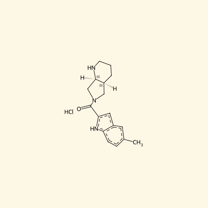 Cc1ccc2[nH]c(C(=O)N3C[C@@H]4CCCN[C@@H]4C3)cc2c1.Cl